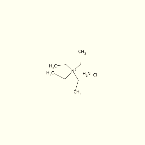 CC[N+](CC)(CC)CC.N.[Cl-]